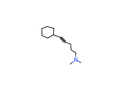 CN(C)CCCC#CC1CC[CH]CC1